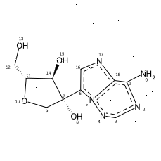 Nc1ncnn2c([C@@]3(O)CO[C@H](CO)[C@H]3O)cnc12